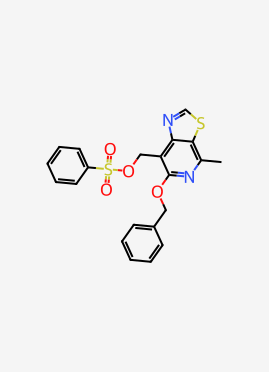 Cc1nc(OCc2ccccc2)c(COS(=O)(=O)c2ccccc2)c2ncsc12